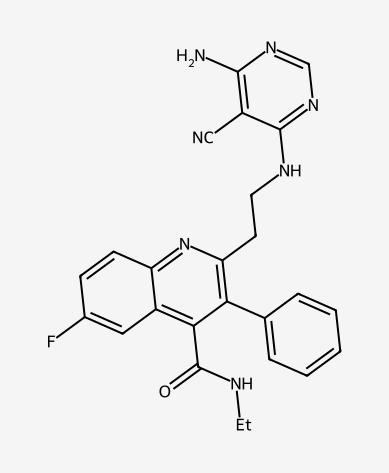 CCNC(=O)c1c(-c2ccccc2)c(CCNc2ncnc(N)c2C#N)nc2ccc(F)cc12